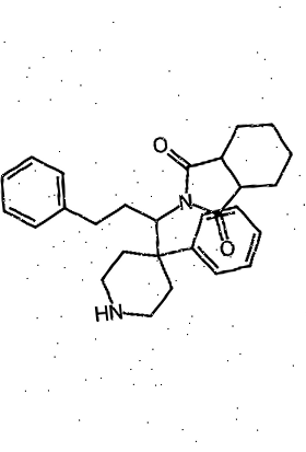 O=C1C2CCCCC2C(=O)N1C(CCc1ccccc1)C1(c2ccccc2)CCNCC1